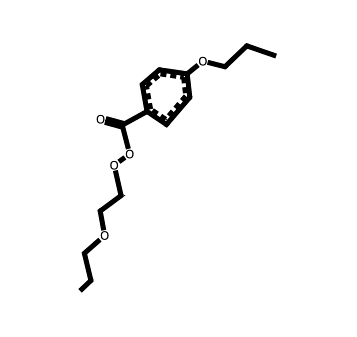 CCCOC[CH]OOC(=O)c1ccc(OCCC)cc1